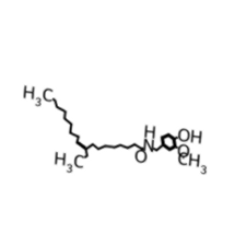 CCCCCCCC/C=C(/CC)CCCCCCCC(=O)NCc1ccc(O)c(OC)c1